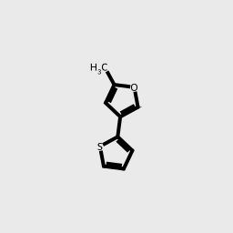 Cc1cc(-c2cccs2)[c]o1